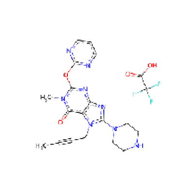 CC#CCn1c(N2CCNCC2)nc2nc(Oc3ncccn3)n(C)c(=O)c21.O=C(O)C(F)(F)F